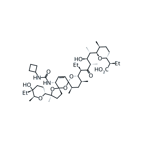 CC[C@@H](C(=O)[C@@H](C)[C@@H](O)[C@H](C)[C@@H]1O[C@@H]([C@@H](CC)C(=O)O)CC[C@@H]1C)[C@H]1O[C@]2(C=C[C@@H](NC(=O)NC3CCC3)[C@]3(CC[C@@](C)([C@H]4CC[C@](O)(CC)[C@H](C)O4)O3)O2)[C@H](C)C[C@@H]1C